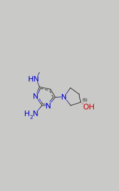 CNc1cc(N2CC[C@H](O)C2)nc(N)n1